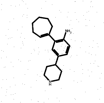 Nc1ccc(C2CCNCC2)cc1C1=CCCCCC1